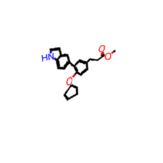 COC(=O)CCc1ccc(OC2CCCC2)c(-c2ccc3[nH]ccc3c2)c1